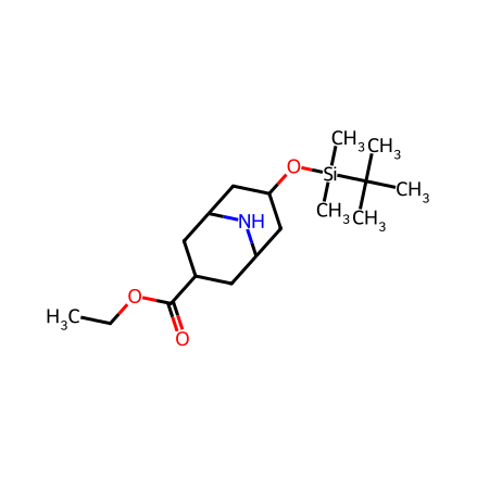 CCOC(=O)C1CC2CC(O[Si](C)(C)C(C)(C)C)CC(C1)N2